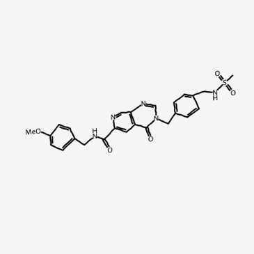 COc1ccc(CNC(=O)c2cc3c(=O)n(Cc4ccc(CNS(C)(=O)=O)cc4)cnc3cn2)cc1